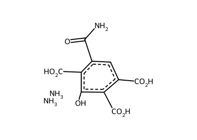 N.N.NC(=O)c1cc(C(=O)O)c(C(=O)O)c(O)c1C(=O)O